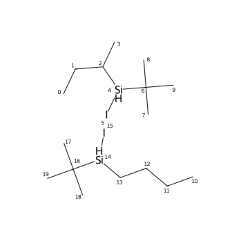 CCC(C)[SiH](I)C(C)(C)C.CCCC[SiH](I)C(C)(C)C